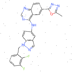 Cc1nnc(-c2ccc3ncnc(Nc4ccc5c(cnn5Cc5cccc(F)c5F)c4)c3c2)o1